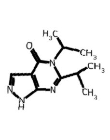 CC(C)c1nc2[nH]ncc2c(=O)n1C(C)C